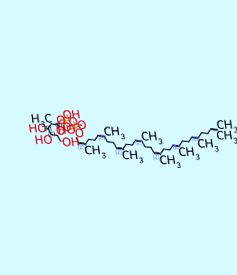 CC(C)=CCC/C(C)=C/CC/C(C)=C/CC/C(C)=C\CC/C(C)=C\CC/C(C)=C\CC/C(C)=C\CC/C(C)=C\COP(=O)(O)OP(=O)(O)O[C@H]1OC(CO)[C@@H](O)[C@H](O)C1C